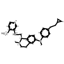 CN(c1ccc(CCC2CC2)cc1)c1ccc2c(c1)CCN(C)[C@H]2CNc1cnccc1C(=O)O